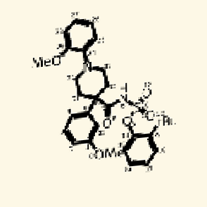 COc1cccc(C2(C(=O)NS(=O)(=O)Oc3ccccc3C(C)(C)C)CCN(c3ccccc3OC)CC2)c1